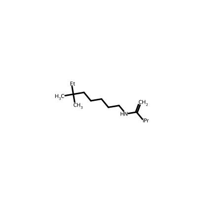 C=C(NCCCCCC(C)(C)CC)C(C)C